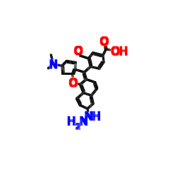 CN(C)c1ccc2c(c1)Oc1c3c(ccc1=C2c1ccc(C(=O)O)cc1C=O)=CC(NN)C=C3